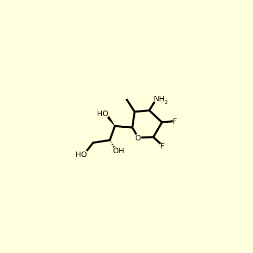 CC1C(N)C(F)C(F)OC1[C@H](O)[C@H](O)CO